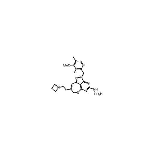 COc1c(C)cnc(Cn2nc3c4c(nc(NC(=O)O)nc42)SCC(CCN2CCC2)=C3)c1C